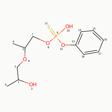 CC(O)COC(C)COP(O)(=S)Oc1ccccc1